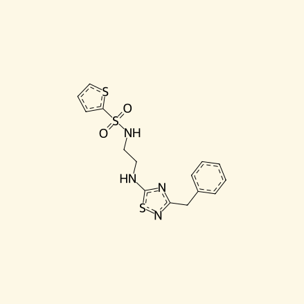 O=S(=O)(NCCNc1nc(Cc2ccccc2)ns1)c1cccs1